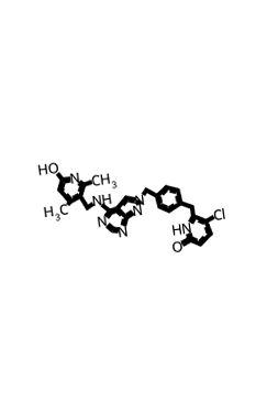 Cc1cc(O)nc(C)c1CNc1ncnc2nn(Cc3ccc(Cc4[nH]c(=O)ccc4Cl)cc3)cc12